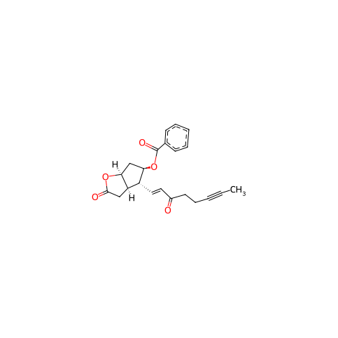 CC#CCCC(=O)/C=C/[C@@H]1[C@H]2CC(=O)O[C@H]2C[C@H]1OC(=O)c1ccccc1